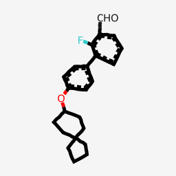 O=Cc1cccc(-c2ccc(OC3CCC4(CCCC4)CC3)cc2)c1F